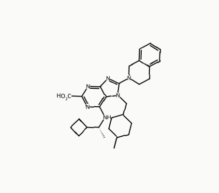 CC1CCC(Cn2c(N3CCc4ccccc4C3)nc3nc(C(=O)O)nc(N[C@H](C)C4CCC4)c32)CC1